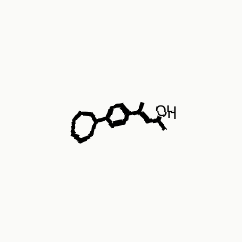 C/C(=C\C(C)O)c1ccc(C2CCCCCC2)cc1